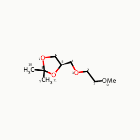 COCCOC[C@@H]1COC(C)(C)O1